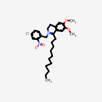 CCCCCCCCCCCC1=[N+](Cc2ccccc2[N+](=O)[O-])CCc2cc(OC)c(OC)cc21.[Cl-]